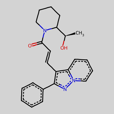 C[C@@H](O)C1CCCCN1C(=O)/C=C/c1c(-c2ccccc2)nn2ccccc12